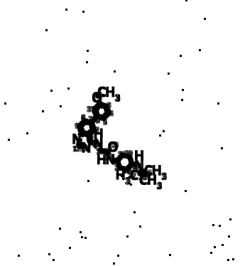 COc1cccc(-c2ccc3ncnc(NCC(=O)NC4CCC(NC(C)(C)C)CC4)c3c2)c1